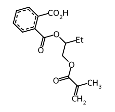 C=C(C)C(=O)OCC(CC)OC(=O)c1ccccc1C(=O)O